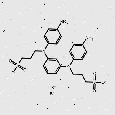 Nc1ccc(N(CCCS(=O)(=O)[O-])c2cccc(N(CCCS(=O)(=O)[O-])c3ccc(N)cc3)c2)cc1.[K+].[K+]